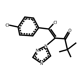 CC(C)(C)C(=O)C(=C(Cl)c1ccc(Cl)cc1)n1cncn1